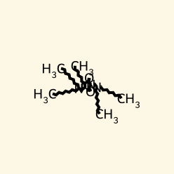 CCCCCCCCN(CCCCCCCC)CN1C(=O)C(CCCCCC)N(CN(CCCCCCCC)CCCCCCCC)C1=O